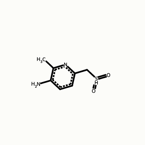 Cc1nc(C[SH](=O)=O)ccc1N